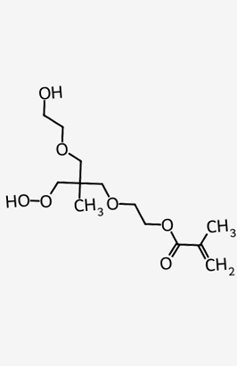 C=C(C)C(=O)OCCOCC(C)(COO)COCCO